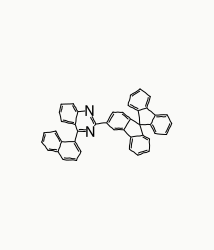 c1ccc2c(c1)-c1ccccc1C21c2ccccc2-c2cc(-c3nc(-c4cccc5ccccc45)c4ccccc4n3)ccc21